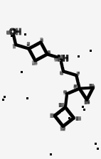 OCC1CC(NCCC2(CC3CCC3)CC2)C1